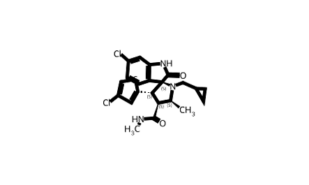 CNC(=O)[C@@H]1[C@H](C)N(CC2CC2)[C@@]2(C(=O)Nc3cc(Cl)ccc32)[C@H]1c1cc(Cl)cs1